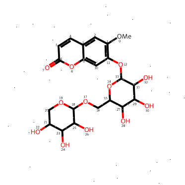 COc1cc2ccc(=O)oc2cc1OC1OC(COC2OCC(O)C(O)C2O)C(O)C(O)C1O